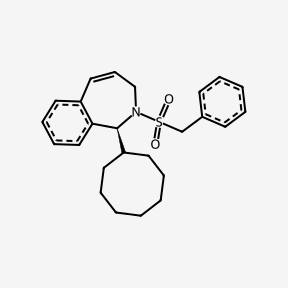 O=S(=O)(Cc1ccccc1)N1CC=Cc2ccccc2[C@@H]1C1CCCCCCC1